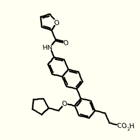 O=C(O)CCc1ccc(OCC2CCCC2)c(-c2ccc3cc(NC(=O)c4ccco4)ccc3c2)c1